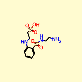 NCCNS(=O)(=O)c1c[c]ccc1NCCS(=O)(=O)O